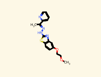 COCCOc1ccc2sc(N/N=C(\C)c3ccccn3)nc2c1